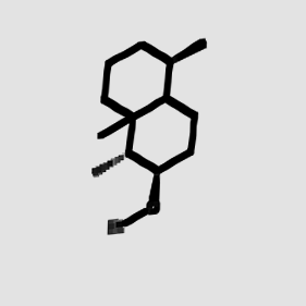 CCO[C@@H]1CCC2[C@H](C)CCCC2(C)[C@H]1C